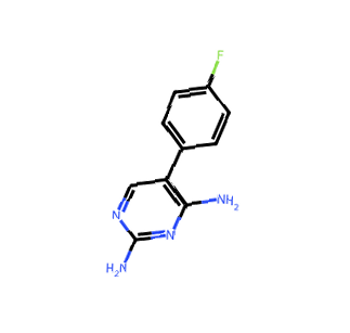 Nc1ncc(-c2ccc(F)cc2)c(N)n1